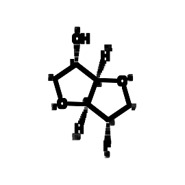 O[C@H]1CO[C@H]2[C@@H]1OC[C@@H]2F